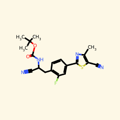 Cc1nc(-c2ccc(CC(C#N)NC(=O)OC(C)(C)C)c(F)c2)sc1C#N